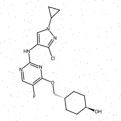 O[C@H]1CC[C@H](COc2nc(Nc3cn(C4CC4)nc3Cl)ncc2F)CC1